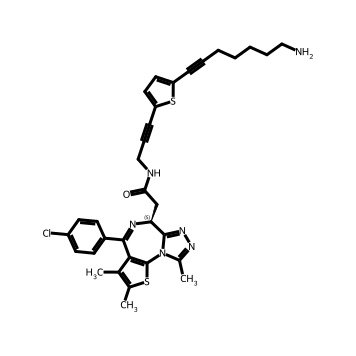 Cc1sc2c(c1C)C(c1ccc(Cl)cc1)=N[C@@H](CC(=O)NCC#Cc1ccc(C#CCCCCCN)s1)c1nnc(C)n1-2